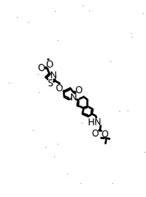 COC(=O)c1csc(COc2ccn(C3=Cc4ccc(CNCC(=O)OC(C)(C)C)cc4CC3)c(=O)c2)n1